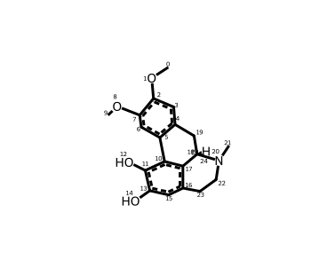 COc1cc2c(cc1OC)-c1c(O)c(O)cc3c1[C@H](C2)N(C)CC3